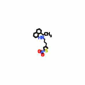 CC(NCCCc1csc([N+](=O)[O-])c1)c1cccc2ccccc12